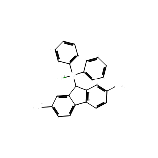 CC(C)(C)c1ccc2c(c1)C([Si](Cl)(c1ccccc1)c1ccccc1)c1cc(C(C)(C)C)ccc1-2